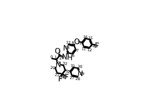 CC(C(=O)Nc1ccc(Oc2ccc(F)cc2)cn1)N1CCC(F)(F)[C@@H](c2ccncc2)C1